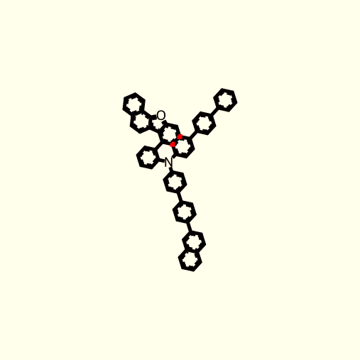 c1ccc(-c2ccc(-c3ccc(N(c4ccc(-c5ccc(-c6ccc7ccccc7c6)cc5)cc4)c4ccccc4-c4cccc5oc6c7ccccc7ccc6c45)cc3)cc2)cc1